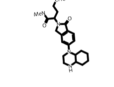 CNC(=O)C(CCC=O)N1Cc2cc(N3CCNC4CCCCC43)ccc2C1=O